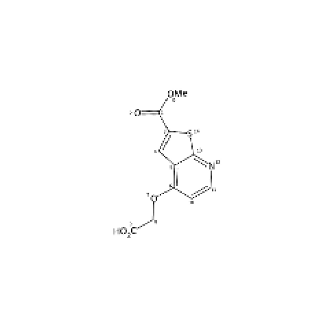 COC(=O)c1cc2c(OCC(=O)O)ccnc2s1